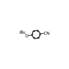 CC[C@H](C)Oc1ccc(C#N)cc1